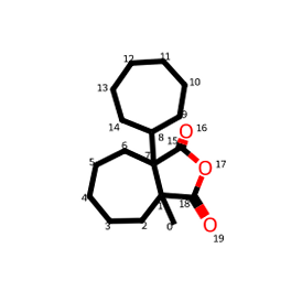 CC12CCCCCC1(C1CCCCCC1)C(=O)OC2=O